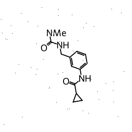 CNC(=O)NCc1cccc(NC(=O)C2CC2)c1